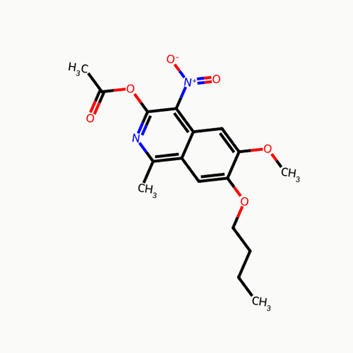 CCCCOc1cc2c(C)nc(OC(C)=O)c([N+](=O)[O-])c2cc1OC